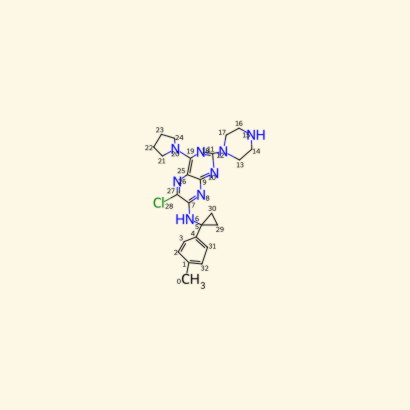 Cc1ccc(C2(Nc3nc4nc(N5CCNCC5)nc(N5CCCC5)c4nc3Cl)CC2)cc1